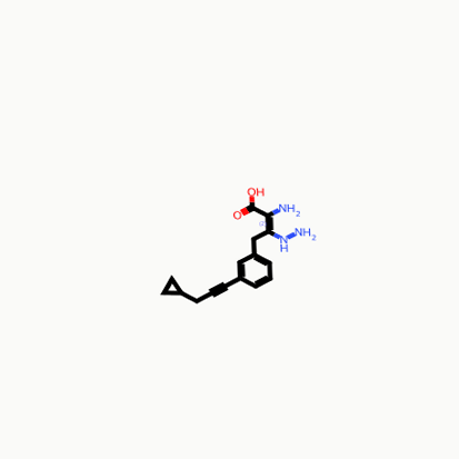 NN/C(Cc1cccc(C#CCC2CC2)c1)=C(\N)C(=O)O